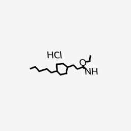 CCCCCC1CCC(CCC(=N)OCC)CC1.Cl